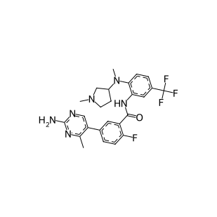 Cc1nc(N)ncc1-c1ccc(F)c(C(=O)Nc2cc(C(F)(F)F)ccc2N(C)C2CCN(C)C2)c1